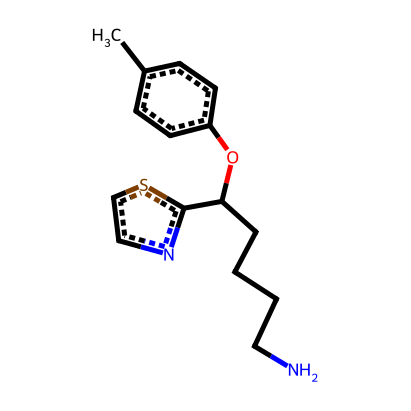 Cc1ccc(OC(CCCCN)c2nccs2)cc1